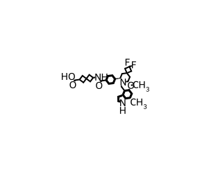 COc1cc(C)c2[nH]ccc2c1CN1CCC2(C[C@@H]1c1ccc(C(=O)NC3CC4(C3)CC(C(=O)O)C4)cc1)CC(F)(F)C2